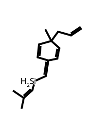 C=CCC1(C)C=CC(=C[SiH2]C=C(C)C)C=C1